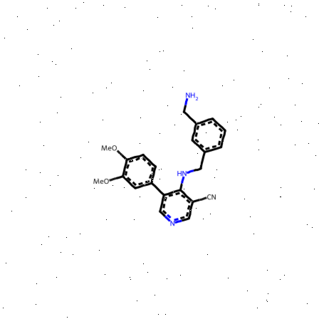 COc1ccc(-c2cncc(C#N)c2NCc2cccc(CN)c2)cc1OC